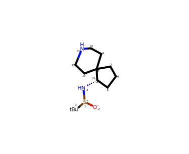 CC(C)(C)[S+]([O-])N[C@H]1CCCC12CCNCC2